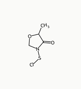 CC1OCN(SCl)C1=O